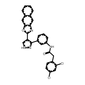 O=C(Cc1ccc(Cl)cc1Cl)Nc1cccc(-c2n[nH]cc2-c2nc3cc4ccccc4cc3o2)c1